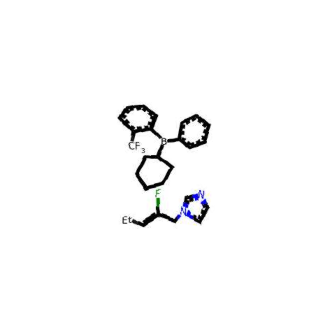 CCC=C(F)Cn1ccnc1.FC(F)(F)c1ccccc1B(c1ccccc1)C1CCCCC1